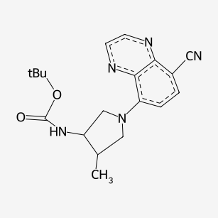 CC1CN(c2ccc(C#N)c3nccnc23)CC1NC(=O)OC(C)(C)C